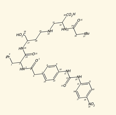 CC(C)CC(NC(=O)Cc1ccc(NC(=O)Nc2ccc([N+](=O)[O-])cc2)cc1)C(=O)NC(CCNCC(NC(=O)CC(C)(C)C)C(=O)O)C(=O)O